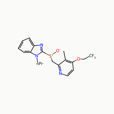 CC[CH]n1c([S+]([O-])Cc2nccc(OCC(F)(F)F)c2C)nc2ccccc21